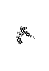 COc1ccc(CNC2=C3CNC(=O)[C@@H]3C[C@H](NC(=O)CNC(=O)c3ccc4ccccc4n3)C2=O)cc1